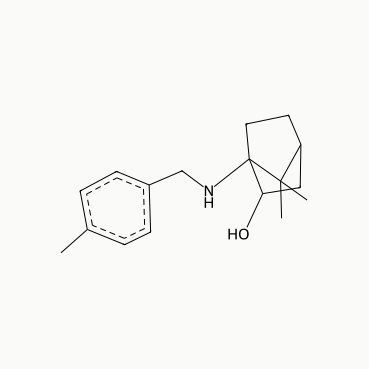 Cc1ccc(CNC23CCC(CC2O)C3(C)C)cc1